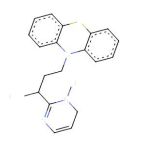 CCCCN1CC=CN=C1C(CCN1c2ccccc2Sc2ccccc21)S(=O)(=O)O